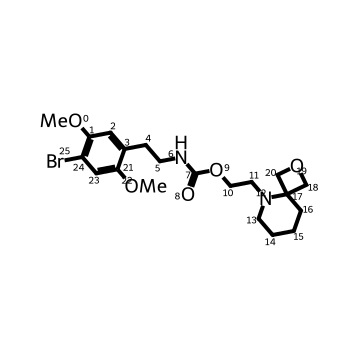 COc1cc(CCNC(=O)OCCN2CCCCC23COC3)c(OC)cc1Br